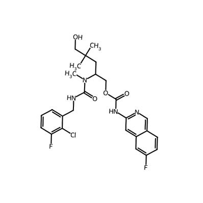 CN(C(=O)NCc1cccc(F)c1Cl)C(COC(=O)Nc1cc2cc(F)ccc2cn1)CC(C)(C)CO